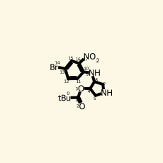 CC(C)(C)C(=O)OC1CNCC1Nc1ccc(Br)cc1[N+](=O)[O-]